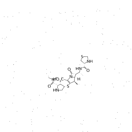 C[C@@H](NC(=O)[C@@H]1CSCN1)[C@H]1C(=O)N2C(C(=O)O)=C(S[C@@H]3CN[C@H](C(=O)N(C)C)C3)[C@H](C)[C@H]12